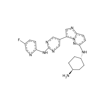 N[C@H]1CC[C@H](Nc2ccc3ncc(-c4cnc(Nc5ccc(F)cn5)nc4)n3n2)CC1